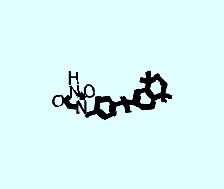 CC1(C)CCC(C)(C)c2cc(C(C)(C)c3ccc(CN4CC(=O)NC4=O)cc3)ccc21